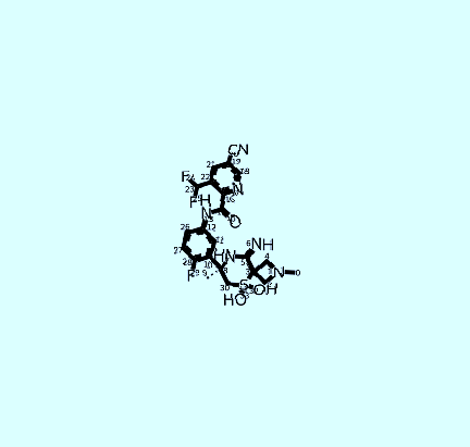 CN1CC2(C1)C(=N)N[C@](C)(c1cc(NC(=O)c3ncc(C#N)cc3C(F)F)ccc1F)CS2(O)O